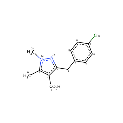 Cc1c(C(=O)O)c(Cc2ccc(Cl)cc2)nn1C